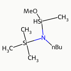 CCCCN([SiH](C)OC)[Si](C)(C)C